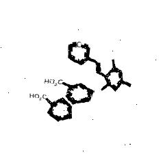 Cc1cc(C)c(C=Cc2ccccc2)c(C)c1.O=C(O)c1ccccc1.O=C(O)c1ccccc1